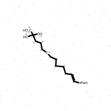 CCCCC/C=C/CCCCCCCCCC(O)(O)C(=O)O